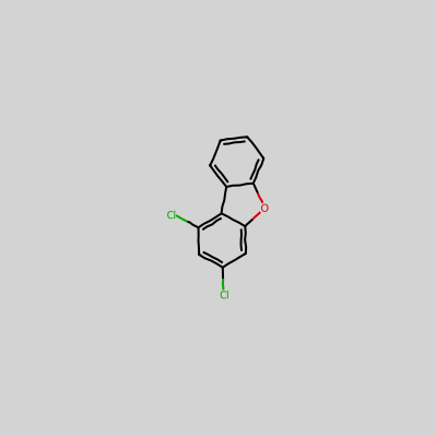 Clc1cc(Cl)c2c(c1)oc1ccccc12